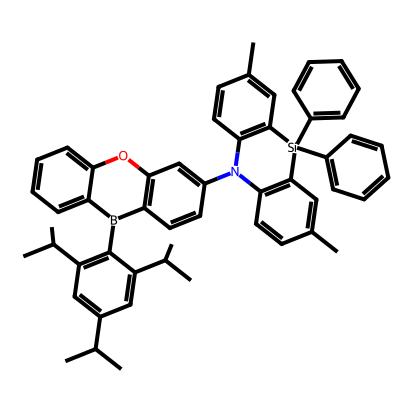 Cc1ccc2c(c1)[Si](c1ccccc1)(c1ccccc1)c1cc(C)ccc1N2c1ccc2c(c1)Oc1ccccc1B2c1c(C(C)C)cc(C(C)C)cc1C(C)C